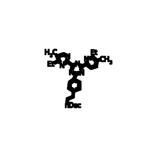 CCCCCCCCCCCCc1ccc(-c2nc(-c3ccc(C)c(CC)n3)nc(-c3ncc(C)c(CC)n3)n2)cc1